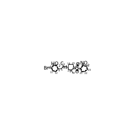 C[C@H]1CN([C@@H](Cc2ccc(Br)cc2)C(=O)O)CCN1S(=O)(=O)c1ccccc1[N+](=O)[O-]